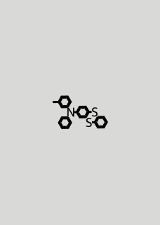 Cc1cccc(N(c2ccccc2)c2ccc3c(c2)Sc2ccccc2S3)c1